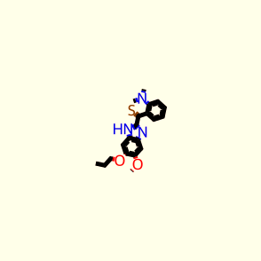 CCCOc1cc2[nH]c(C(=S)c3ccccc3N(C)C)nc2cc1OC